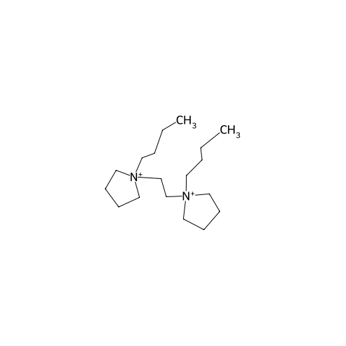 CCCC[N+]1(CC[N+]2(CCCC)CCCC2)CCCC1